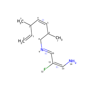 C=CC(C)/C=C\C(C)C/N=C/C(F)=C\N